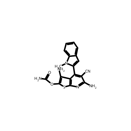 Cn1c(-c2c(C#N)c(N)nc3sc(OC(N)=O)c(N)c23)cc2ccccc21